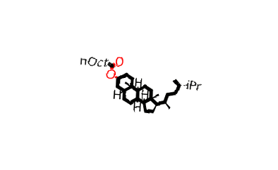 CCCCCCCCC(=O)O[C@H]1CC[C@@]2(C)[C@@H](CC[C@@H]3[C@@H]2CC[C@]2(C)[C@@H]([C@H](C)CC[C@H](C)C(C)C)CC[C@@H]32)C1